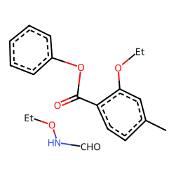 CCONC=O.CCOc1cc(C)ccc1C(=O)Oc1ccccc1